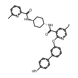 [CH2]CCc1ccc(-c2cccc(Oc3ncc(F)cc3C(=O)N[C@H]3CC[C@H](NC(=O)c4cccc(C)n4)CC3)c2)cc1